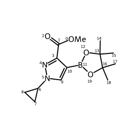 COC(=O)c1nn(C2CC2)cc1B1OC(C)(C)C(C)(C)O1